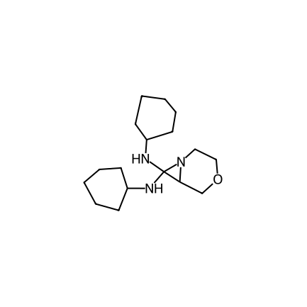 C1CCC(NC2(NC3CCCCC3)C3COCCN32)CC1